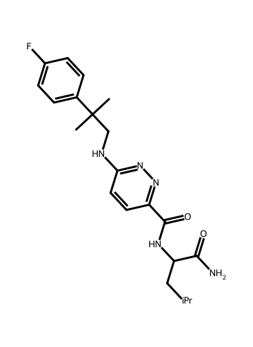 CC(C)CC(NC(=O)c1ccc(NCC(C)(C)c2ccc(F)cc2)nn1)C(N)=O